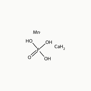 O=P(O)(O)O.[CaH2].[Mn]